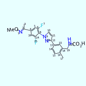 CON=C(C)c1cc(F)c(-n2ccc(-c3ccc(C)c(CNC(=O)O)c3)n2)c(F)c1